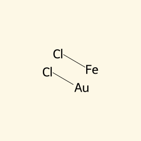 [Cl][Au].[Cl][Fe]